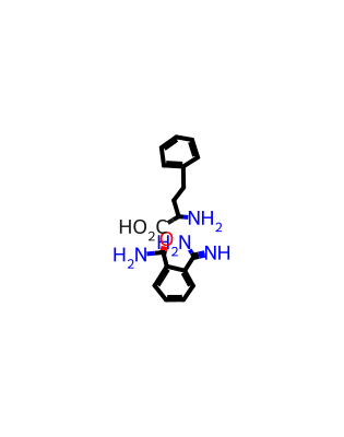 N=C(N)c1ccccc1C(N)=O.NC(CCc1ccccc1)C(=O)O